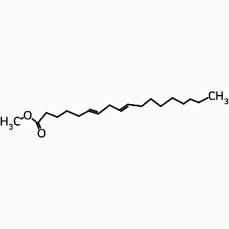 CCCCCCCCC=CCC=CCCCCC(=O)OC